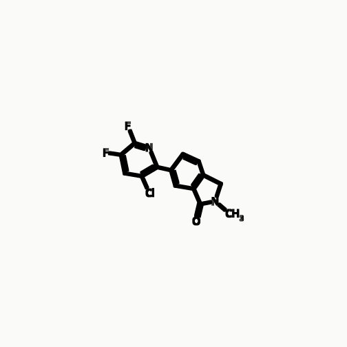 CN1Cc2ccc(-c3nc(F)c(F)cc3Cl)cc2C1=O